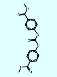 COC(=O)c1ccc(OC(=O)Oc2ccc(C(=O)OC)cc2)cc1